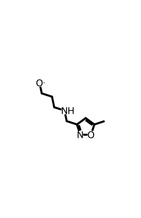 Cc1cc(CNCCC[O])no1